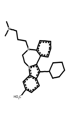 CN(C)CCCN1CCn2c(c(C3CCCCC3)c3ccc(C(=O)O)cc32)-c2ccccc21